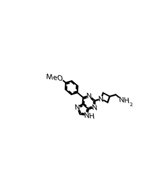 COc1ccc(-c2nc(N3CC(CN)C3)nc3[nH]cnc23)cc1